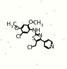 COc1cc(OC)c(Nc2nc(-c3ccncc3)c(CCl)s2)cc1Cl